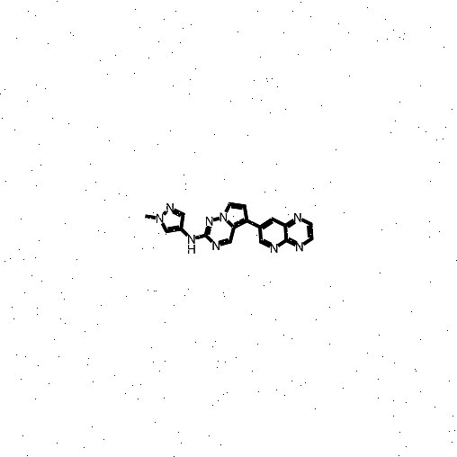 Cn1cc(Nc2ncc3c(-c4cnc5nccnc5c4)ccn3n2)cn1